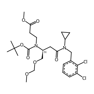 COCOC[C@H](CC(=O)N(Cc1cccc(Cl)c1Cl)C1CC1)N(CCC(=O)OC)C(=O)OC(C)(C)C